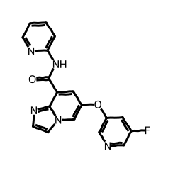 O=C(Nc1ccccn1)c1cc(Oc2cncc(F)c2)cn2ccnc12